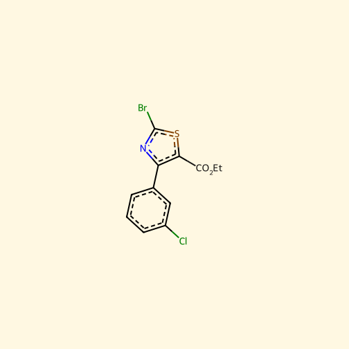 CCOC(=O)c1sc(Br)nc1-c1cccc(Cl)c1